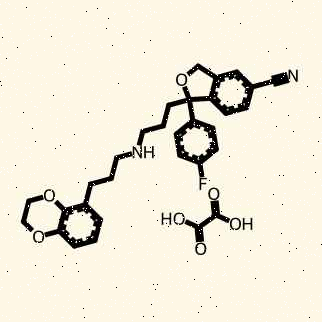 N#Cc1ccc2c(c1)COC2(CCCNCCCc1cccc2c1OCCO2)c1ccc(F)cc1.O=C(O)C(=O)O